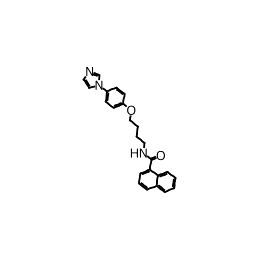 O=C(NCCCCOc1ccc(-n2ccnc2)cc1)c1cccc2ccccc12